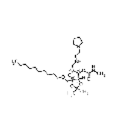 CCCCCCCCCCOC[C@@]12O[C@@H](CNCCN3CCCC3)[C@@H](OC(=O)NC)[C@@H]1OC(C)(C)O2